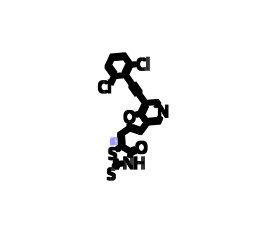 O=C1NC(=S)S/C1=C/c1cc2cncc(C#Cc3c(Cl)cccc3Cl)c2o1